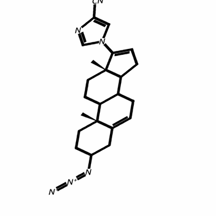 C[C@]12CCC(N=[N+]=[N-])CC1=CCC1C2CC[C@]2(C)C(n3cnc(C#N)c3)=CCC12